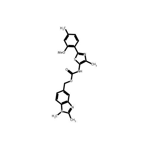 COc1cc(C)ccc1-c1nc(C)c(NC(=O)OCc2ccc3c(c2)nc(C)n3C)s1